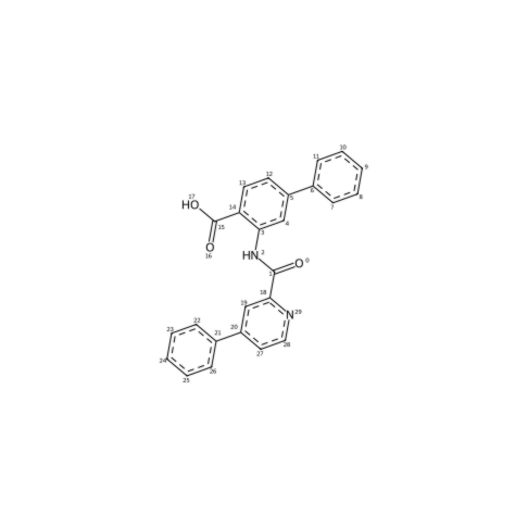 O=C(Nc1cc(-c2ccccc2)ccc1C(=O)O)c1cc(-c2ccccc2)ccn1